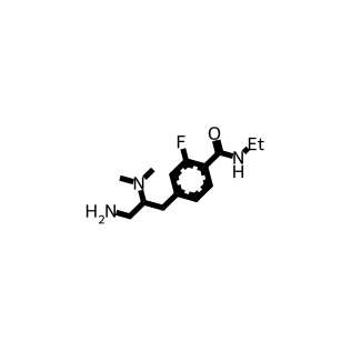 CCNC(=O)c1ccc(CC(CN)N(C)C)cc1F